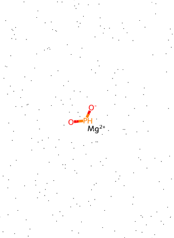 [Mg+2].[O-]P[O-]